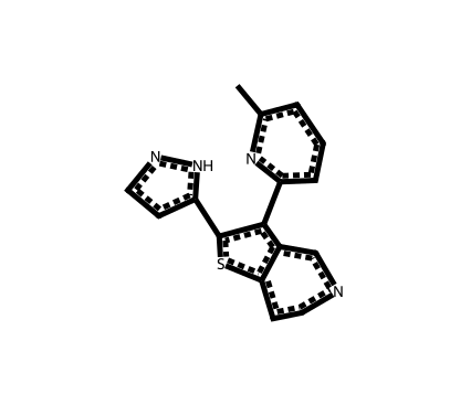 Cc1cccc(-c2c(-c3ccn[nH]3)sc3ccncc23)n1